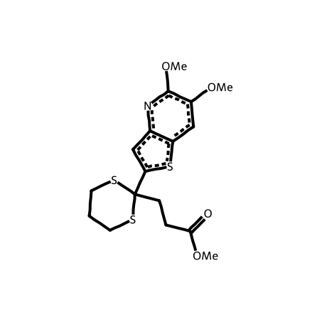 COC(=O)CCC1(c2cc3nc(OC)c(OC)cc3s2)SCCCS1